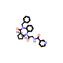 O=C(NCC(=O)N1c2ccccc2N(Cc2ccccc2)C(=O)[C@H]2CCC[C@H]21)c1cccnc1